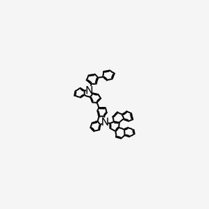 c1ccc(-c2cccc(-n3c4ccccc4c4cc(-c5ccc6c(c5)c5ccccc5n6-c5cc6ccc7ccccc7c6c6c5ccc5ccccc56)ccc43)c2)cc1